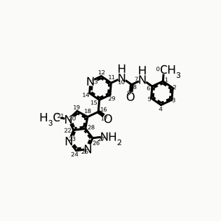 Cc1ccccc1NC(=O)Nc1cncc(C(=O)c2cn(C)c3ncnc(N)c23)c1